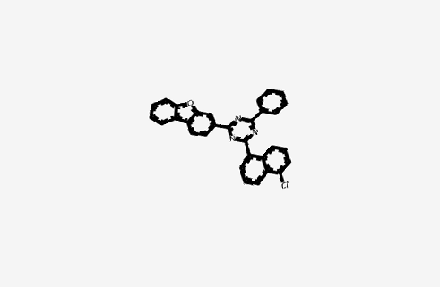 Clc1cccc2c(-c3nc(-c4ccccc4)nc(-c4ccc5c(c4)oc4ccccc45)n3)cccc12